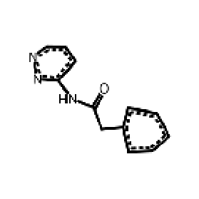 O=C(Cc1ccccc1)Nc1cccnn1